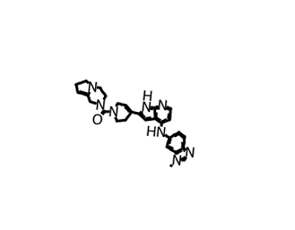 Cn1cnc2ccc(Nc3ccnc4[nH]c(C5=CCN(C(=O)N6CCN7CCC=C7C6)CC5)cc34)cc21